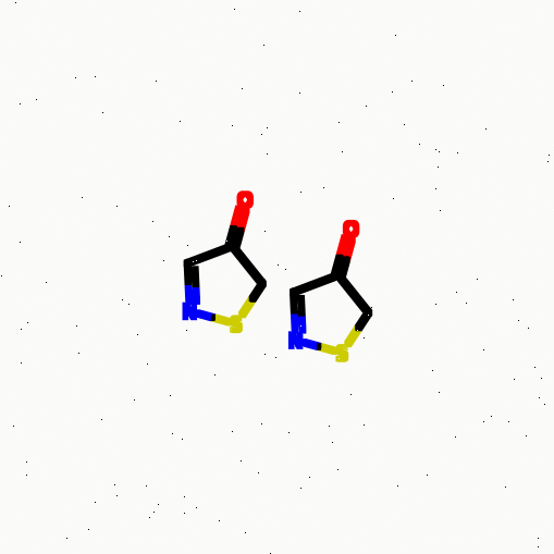 O=C1C=NSC1.O=C1C=NSC1